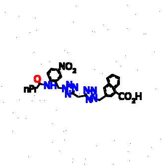 CCCC(=O)Nc1ccc([N+](=O)[O-])cc1Cn1nnc(Cc2nnn(Cc3cc(C(=O)O)c4ccccc4c3)n2)n1